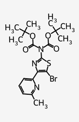 Cc1cccc(-c2nc(N(C(=O)OC(C)(C)C)C(=O)OC(C)(C)C)sc2Br)n1